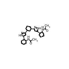 CC(=O)Nc1ccccc1-c1cc(-c2cccc(-c3cc(-c4ccccc4NC(C)=O)[nH]n3)c2)n[nH]1